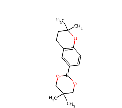 CC1(C)COB(c2ccc3c(c2)CCC(C)(C)O3)OC1